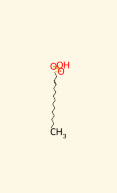 CCCCCCCCCCCCC=CCCS(=O)(=O)O